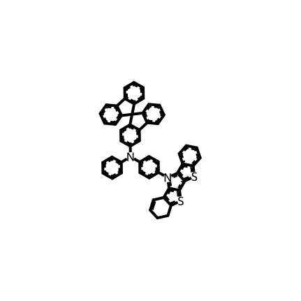 C1=Cc2c(sc3c4sc5ccccc5c4n(-c4ccc(N(c5ccccc5)c5ccc6c(c5)-c5ccccc5C65c6ccccc6-c6ccccc65)cc4)c23)CC1